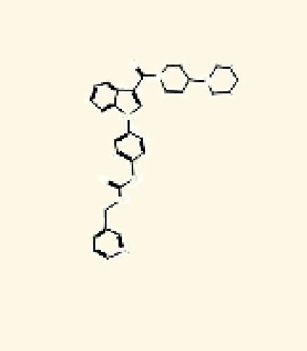 O=C(NCc1cccnc1)Nc1ccc(-n2cc(C(=O)N3CCC(N4CCCCC4)CC3)c3ccccc32)cc1